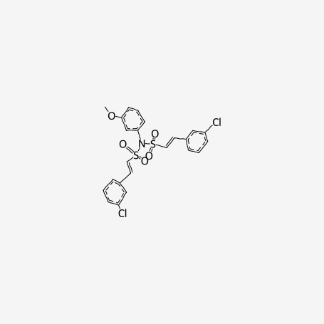 COc1cccc(N(S(=O)(=O)/C=C/c2cccc(Cl)c2)S(=O)(=O)/C=C/c2cccc(Cl)c2)c1